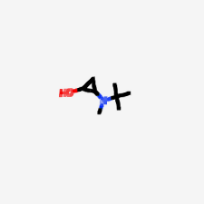 CN(C1CC1O)C(C)(C)C